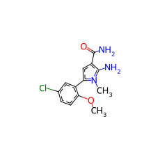 COc1ccc(Cl)cc1-c1cc(C(N)=O)c(N)n1C